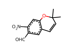 CC1(C)C=Cc2cc(C=O)c([N+](=O)[O-])cc2O1